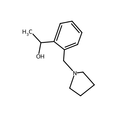 CC(O)c1ccccc1CN1CCCC1